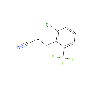 N#CCCc1c(Cl)cccc1C(F)(F)F